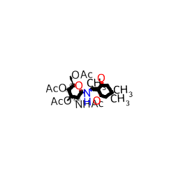 CC(=O)N[C@@H]1[C@@H](OC(C)=O)[C@H](OC(C)=O)[C@@H](COC(C)=O)O[C@H]1NC(C)=C1C(=O)CC(C)(C)CC1=O